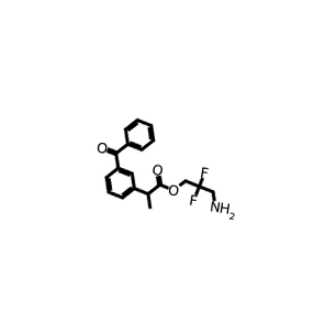 CC(C(=O)OCC(F)(F)CN)c1cccc(C(=O)c2ccccc2)c1